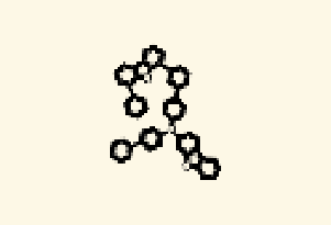 c1ccc(-c2ccc(N(c3ccc(-c4cccc(-c5cccc6c5oc5c(-c7ccccc7)cccc56)c4)cc3)c3ccc4c(c3)oc3ccccc34)cc2)cc1